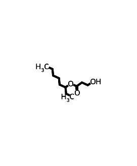 CCCCCC(CC)OC(=O)CCO